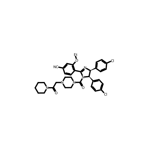 CCOc1cc(C#N)ccc1C1=N[C@@H](c2ccc(Cl)cc2)[C@@H](c2ccc(Cl)cc2)N1C(=O)N1CCN(CC(=O)N2CCCCC2)CC1